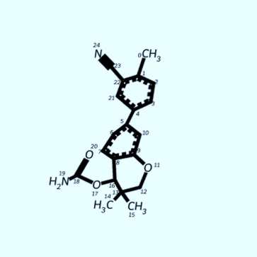 Cc1ccc(-c2ccc3c(c2)OCC(C)(C)C3OC(N)=O)cc1C#N